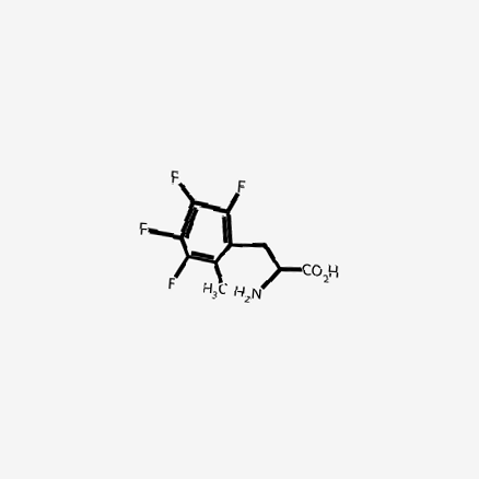 Cc1c(F)c(F)c(F)c(F)c1CC(N)C(=O)O